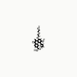 C=C(C(=O)c1ccc(C(=O)O)cc1)c1cc(-c2cccs2)c(OC)cc1OCCOCCOC